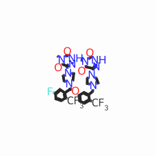 Cn1c(=O)[nH]nc(N2CCN(C(=O)c3cc(F)ccc3C(F)(F)F)CC2)c1=O.Cn1c(=O)[nH]nc(N2CCN(Cc3ccccc3C(F)(F)F)CC2)c1=O